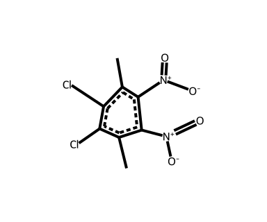 Cc1c(Cl)c(Cl)c(C)c([N+](=O)[O-])c1[N+](=O)[O-]